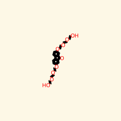 O=C1c2cc(OCCOCCOCCO)ccc2-c2ccc(OCCOCCOCCO)cc21